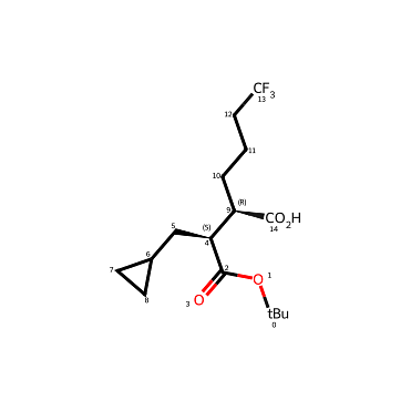 CC(C)(C)OC(=O)[C@@H](CC1CC1)[C@@H](CCCC(F)(F)F)C(=O)O